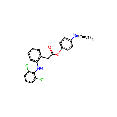 C=C=Nc1ccc(OC(=O)Cc2ccccc2Nc2c(Cl)cccc2Cl)cc1